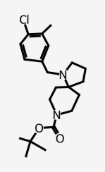 Cc1cc(CN2CCCC23CCN(C(=O)OC(C)(C)C)CC3)ccc1Cl